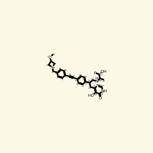 COC1CN(Cc2ccc(C#Cc3ccc(C(CNC(C)[C@@H](O)F)Cc4nc[nH]c(=O)c4O)cc3)cc2)C1